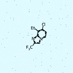 CCc1c(Cl)ccn2cc(C(F)(F)F)nc12